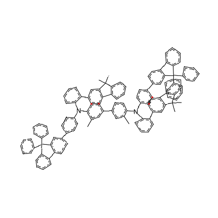 Cc1cc(-c2ccc(N(c3ccc(-c4ccc5c(c4)C(c4ccccc4)(c4ccccc4)c4ccccc4-5)cc3)c3ccccc3-c3ccc4c(c3)C(C)(C)c3ccccc3-4)c(C)c2)ccc1N(c1ccc(-c2ccc3c(c2)C(c2ccccc2)(c2ccccc2)c2ccccc2-3)cc1)c1ccccc1-c1ccc2c(c1)C(C)(C)c1ccccc1-2